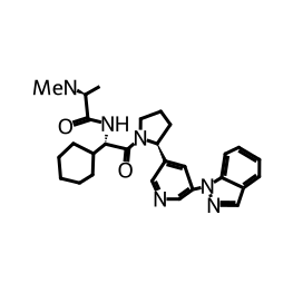 CN[C@@H](C)C(=O)N[C@H](C(=O)N1CCC[C@H]1c1cncc(-n2ncc3ccccc32)c1)C1CCCCC1